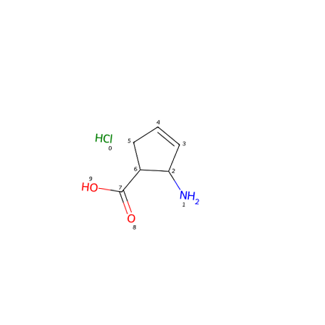 Cl.NC1C=CCC1C(=O)O